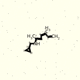 C=C/C(C)=C\C=C(/C)NCC1CC1